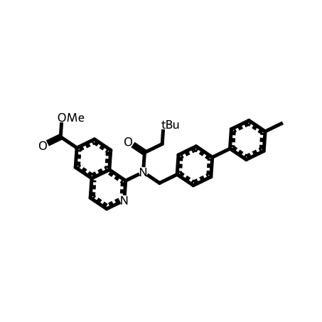 COC(=O)c1ccc2c(N(Cc3ccc(-c4ccc(C)cc4)cc3)C(=O)CC(C)(C)C)nccc2c1